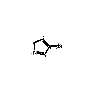 BrC1=CCN=C1